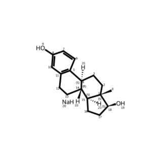 C[C@]12CC[C@@H]3c4ccc(O)cc4CC[C@H]3[C@@H]1CC[C@@H]2O.[NaH]